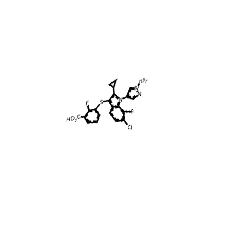 CCCn1cc(-n2c(C3CC3)c(Sc3cccc(C(=O)O)c3F)c3ccc(Cl)c(F)c32)cn1